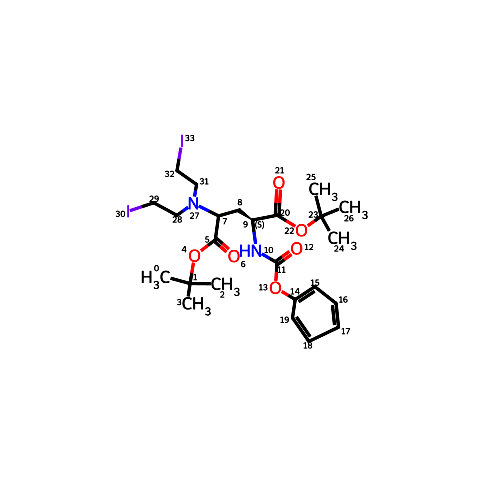 CC(C)(C)OC(=O)C(C[C@H](NC(=O)Oc1ccccc1)C(=O)OC(C)(C)C)N(CCI)CCI